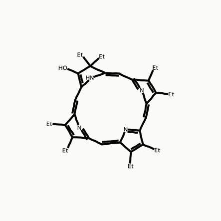 CCC1=C(CC)C2=NC1=CC1=NC(=CC3=C(O)C(CC)(CC)C(=CC4=NC(=C2)C(CC)=C4CC)N3)C(CC)=C1CC